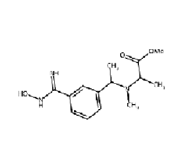 COC(=O)C(C)N(C)C(C)c1cccc(C(=N)NO)c1